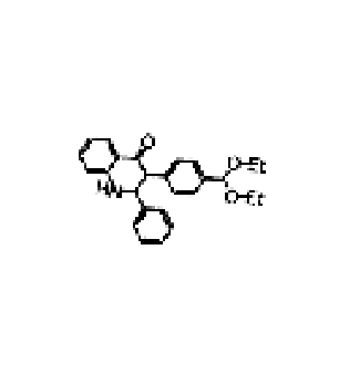 CCOC(OCC)c1ccc(C2C(=O)c3ccccc3NC2c2ccccc2)cc1